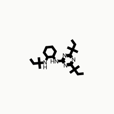 CCC(C)(C)NC1CCCCC1Nc1nc(C(C)(C)CC)nc(C(C)(C)CC)n1